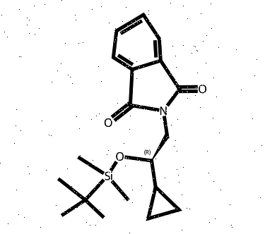 CC(C)(C)[Si](C)(C)O[C@@H](CN1C(=O)c2ccccc2C1=O)C1CC1